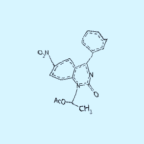 CC(=O)OC(C)n1c(=O)nc(-c2ccccc2)c2cc([N+](=O)[O-])ccc21